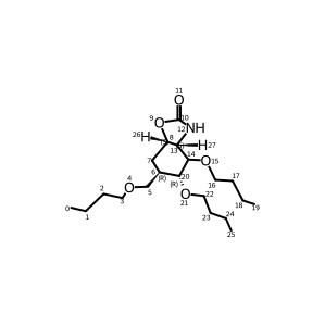 CCCCOC[C@H]1C[C@@H]2OC(=O)N[C@@H]2C(OCCCC)[C@@H]1OCCCC